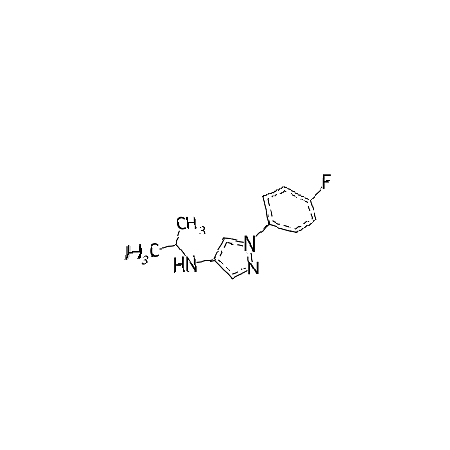 CC(C)Nc1cnn(-c2ccc(F)cc2)c1